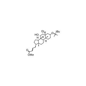 CC[C@H]1[C@@H](O)[C@@H]2[C@H](CC[C@]3(C)[C@@H](C/C=C/C(=O)OC)CC[C@@H]23)[C@@]2(C)CCC(O[Si](C)(C)C(C)(C)C)C[C@@H]12